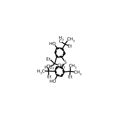 CCC(C)(C)c1cc(Sc2cc(C(C)(C)CC)c(O)cc2C(C)(C)CC)c(C(C)(C)CC)cc1O